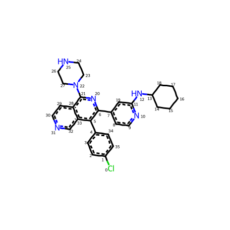 Clc1ccc(-c2c(-c3ccnc(NC4CCCCC4)c3)nc(N3CCNCC3)c3ccncc23)cc1